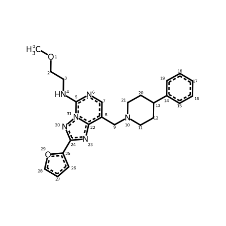 COCCNc1ncc(CN2CCC(c3ccccc3)CC2)c2nc(-c3ccco3)nn12